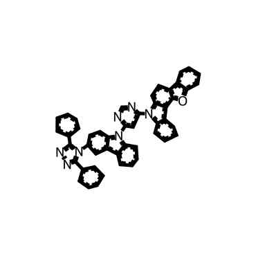 c1ccc(-c2nnc(-c3ccccc3)n2-c2ccc3c(c2)c2ccccc2n3-c2cc(-n3c4ccccc4c4c5oc6ccccc6c5ccc43)ncn2)cc1